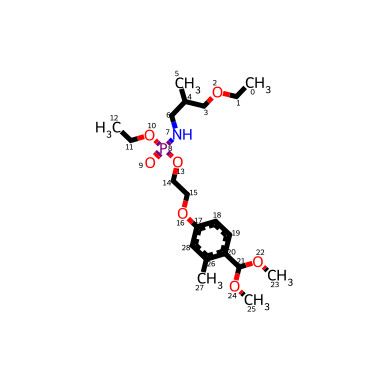 CCOCC(C)CNP(=O)(OCC)OCCOc1ccc(C(OC)OC)c(C)c1